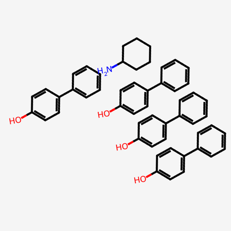 NC1CCCCC1.Oc1ccc(-c2ccccc2)cc1.Oc1ccc(-c2ccccc2)cc1.Oc1ccc(-c2ccccc2)cc1.Oc1ccc(-c2ccccc2)cc1